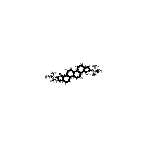 CC(C)[Si](c1cc2ccc3c4ccc5c(ccc6cc([Si](C(C)C)(C(C)C)C(C)C)sc65)c4ccc3c2s1)(C(C)C)C(C)C